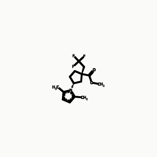 COC(=O)[C@@]1(CC(F)(F)F)CC[C@@H](n2c(C)ccc2C)C1